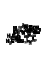 C=C(O[Si](C)(C)C(C)(C)C)c1ccnc(N(c2ccccc2)[Si](C)(C)C(C)(C)C)n1